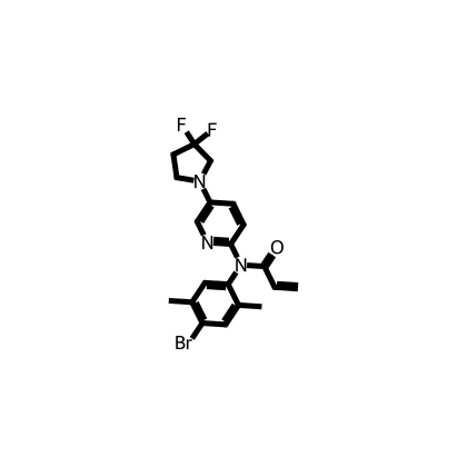 C=CC(=O)N(c1ccc(N2CCC(F)(F)C2)cn1)c1cc(C)c(Br)cc1C